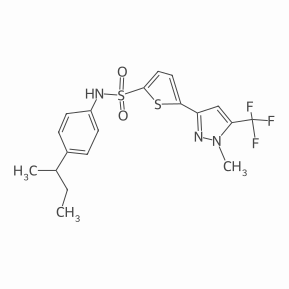 CCC(C)c1ccc(NS(=O)(=O)c2ccc(-c3cc(C(F)(F)F)n(C)n3)s2)cc1